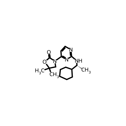 C[C@@H](Nc1nccc(N2CC(C)(C)OC2=O)n1)C1CCCCC1